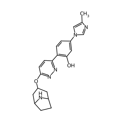 Cc1cn(-c2ccc(-c3ccc(OC4CC5CCC(C4)N5)nn3)c(O)c2)cn1